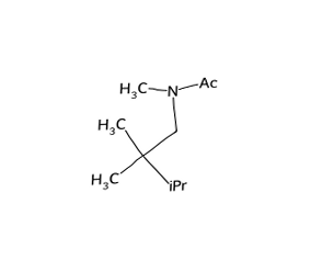 CC(=O)N(C)CC(C)(C)C(C)C